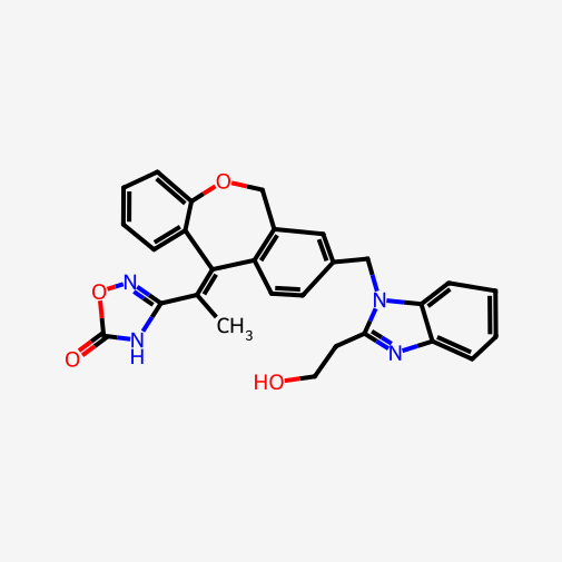 CC(=C1c2ccc(Cn3c(CCO)nc4ccccc43)cc2COc2ccccc21)c1noc(=O)[nH]1